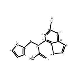 O=C(O)N(Cc1ccco1)c1nc(Cl)nc2ccsc12